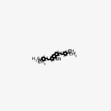 CN(C)c1ccc(C=Cc2ccc3c(C#N)c4cc(C=Cc5ccc(N(C)C)cc5)ccc4cc3c2)cc1